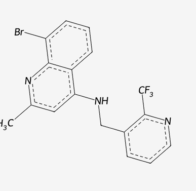 Cc1cc(NCc2cccnc2C(F)(F)F)c2cccc(Br)c2n1